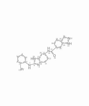 CC(C)c1ccccc1Nc1nc2ccc(NC(=O)c3ccc4cn[nH]c4c3)cc2[nH]1